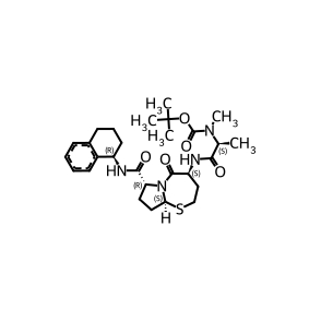 C[C@@H](C(=O)N[C@H]1CCS[C@H]2CC[C@H](C(=O)N[C@@H]3CCCc4ccccc43)N2C1=O)N(C)C(=O)OC(C)(C)C